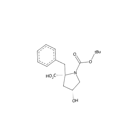 CC(C)(C)OC(=O)N1C[C@H](O)C[C@]1(Cc1ccccc1)C(=O)O